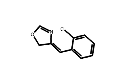 Clc1ccccc1/C=C1/CO[C]=N1